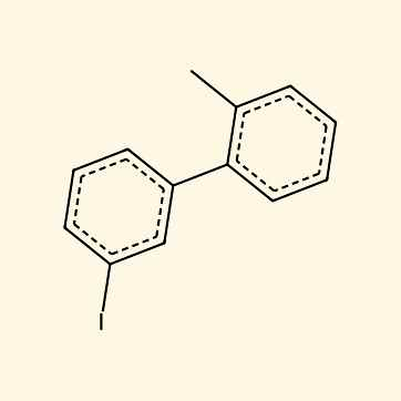 Cc1ccccc1-c1cccc(I)c1